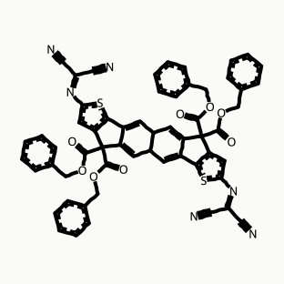 N#CC(C#N)=Nc1cc2c(s1)C1=CC3C=C4C(=CC3C=C1C2(C(=O)OCc1ccccc1)C(=O)OCc1ccccc1)c1sc(N=C(C#N)C#N)cc1C4(C(=O)OCc1ccccc1)C(=O)OCc1ccccc1